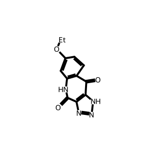 CCOc1ccc2c(=O)c3[nH]nnc3c(=O)[nH]c2c1